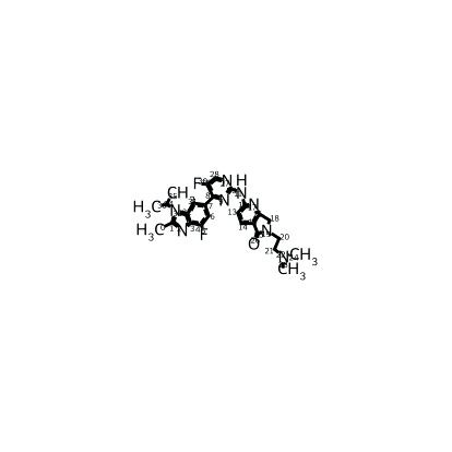 Cc1nc2c(F)cc(-c3nc(Nc4ccc5c(n4)CN(CCN(C)C)C5=O)ncc3F)cc2n1C(C)C